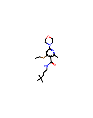 CCSc1cc(N2CCOCC2)nc(C)c1C(=O)NCCCC(C)(C)C